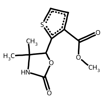 COC(=O)c1ccsc1C1OC(=O)NC1(C)C